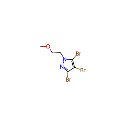 COCCn1nc(Br)c(Br)c1Br